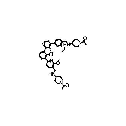 COc1cc(-c2ccnc(-c3cccc(-c4ccc(CNC5CCN(C(C)=O)CC5)c(OC)n4)c3Cl)c2Cl)ccc1CNC1CCN(C(C)=O)CC1